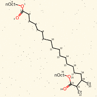 CCCCCCCCOC(=O)CCCCCCCCCCCCCCCC(CC)C(CC)C(=O)OCCCCCCCC